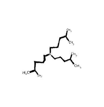 CC(C)CCCN(CCCC(C)C)CCCC(C)C